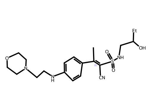 CCC(O)CNS(=O)(=O)/C(C#N)=C(\C)c1ccc(NCCN2CCOCC2)cc1